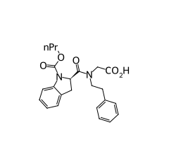 CCCOC(=O)N1c2ccccc2C[C@@H]1C(=O)N(CCc1ccccc1)CC(=O)O